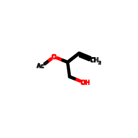 C=CC(CO)OC(C)=O